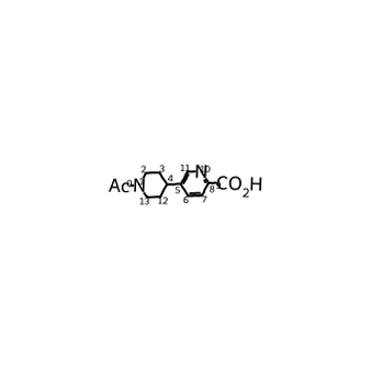 CC(=O)N1CCC(c2ccc(C(=O)O)nc2)CC1